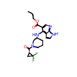 CCCOC(=O)c1cnc2[nH]ccc2c1N[C@@H]1CCCN(C(=O)[C@@H]2CC2(F)F)C1